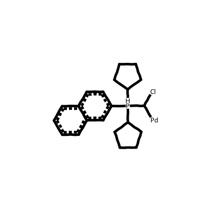 Cl[CH]([Pd])[PH](c1ccc2ccccc2c1)(C1CCCC1)C1CCCC1